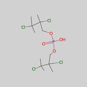 CC(C)(Cl)C(C)(Cl)COP(=O)(O)OCC(C)(Cl)C(C)(C)Cl